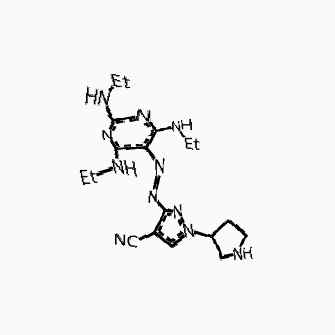 CCNc1nc(NCC)c(N=Nc2nn(C3CCNC3)cc2C#N)c(NCC)n1